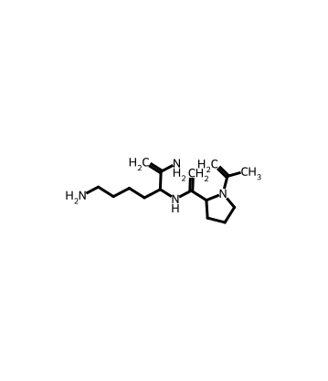 C=C(N)C(CCCCN)NC(=C)C1CCCN1C(=C)C